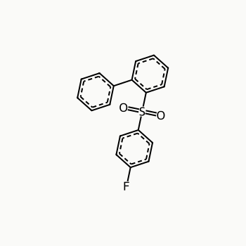 O=S(=O)(c1ccc(F)cc1)c1ccccc1-c1ccccc1